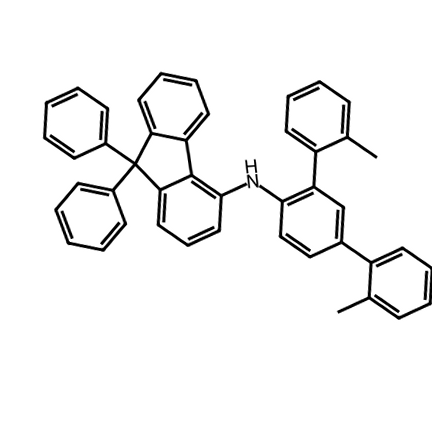 Cc1ccccc1-c1ccc(Nc2cccc3c2-c2ccccc2C3(c2ccccc2)c2ccccc2)c(-c2ccccc2C)c1